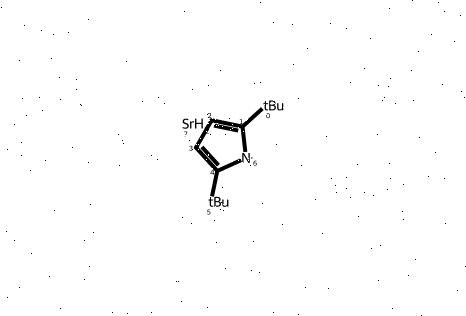 CC(C)(C)C1=CC=C(C(C)(C)C)[N]1.[SrH2]